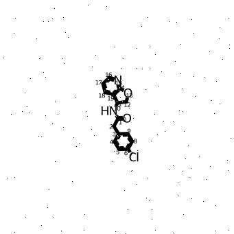 O=C(Cc1ccc(Cl)cc1)NC1COc2ncccc21